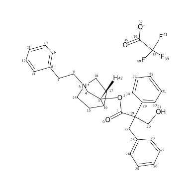 O=C(O[C@H]1C[N+]2(CCc3ccccc3)CCC1CC2)C(CO)(Cc1ccccc1)c1ccccc1.O=C([O-])C(F)(F)F